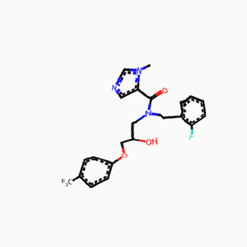 Cn1cncc1C(=O)N(Cc1ccccc1F)CC(O)COc1ccc(C(F)(F)F)cc1